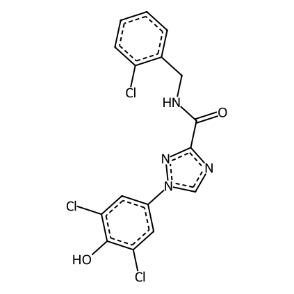 O=C(NCc1ccccc1Cl)c1ncn(-c2cc(Cl)c(O)c(Cl)c2)n1